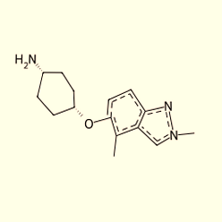 Cc1c(O[C@H]2CC[C@@H](N)CC2)ccc2nn(C)cc12